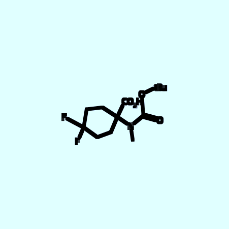 CN(C(=O)OC(C)(C)C)C1(C(=O)O)CCC(F)(F)CC1